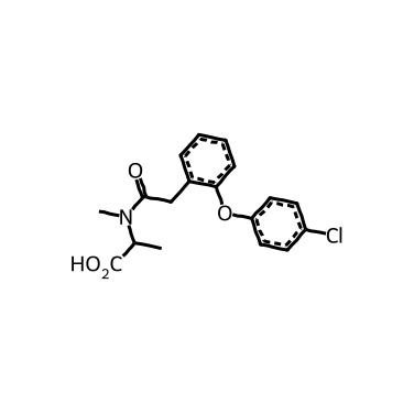 CC(C(=O)O)N(C)C(=O)Cc1ccccc1Oc1ccc(Cl)cc1